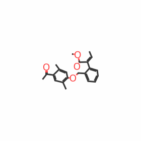 CC=C(C(=O)OC)c1ccccc1COc1cc(C)c(C(C)=O)cc1C